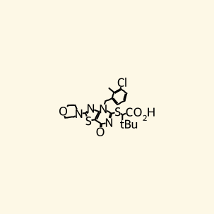 Cc1c(Cl)cccc1Cn1c(SC(C(=O)O)C(C)(C)C)nc(=O)c2sc(N3CCOCC3)nc21